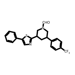 O=CN1CC(c2ccc(C(F)(F)F)cc2)CC(c2ncc(-c3ccccc3)s2)C1